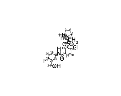 C[C@@]1(O)C2CC[C@H]1CC(S(=O)(=O)c1cc(C(=O)Nc3ccc(F)c(CO)c3)ccc1Cl)C2